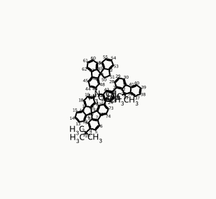 CC(C)(C)c1ccc2c(c1)C1(c3ccccc3-c3ccc(N(c4cccc(-c5cccc6c5C(C)(C)c5ccccc5-6)c4)c4ccc5c(c4)C4(CCc6ccccc64)c4ccccc4-5)cc31)c1cc(C(C)(C)C)ccc1-2